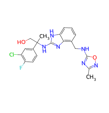 Cc1noc(NCc2cccc3[nH]c(NC(C)(CO)c4ccc(F)c(Cl)c4)nc23)n1